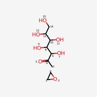 C1CO1.CC(=O)C(O)C(O)C(O)C(O)CO